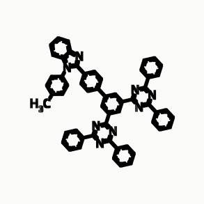 Cc1ccc(-n2c(-c3ccc(-c4cc(-c5nc(-c6ccccc6)nc(-c6ccccc6)n5)cc(-c5nc(-c6ccccc6)nc(-c6ccccc6)n5)c4)cc3)nc3ccccc32)cc1